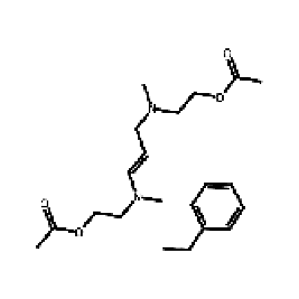 CC(=O)OCCN(C)C=CCN(C)CCOC(C)=O.CCc1ccccc1